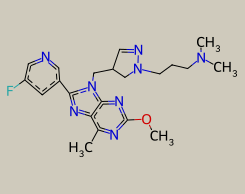 COc1nc(C)c2nc(-c3cncc(F)c3)n(CC3C=NN(CCCN(C)C)C3)c2n1